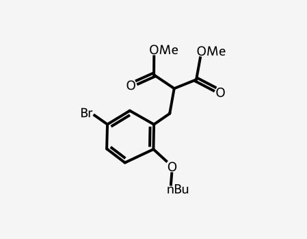 CCCCOc1ccc(Br)cc1CC(C(=O)OC)C(=O)OC